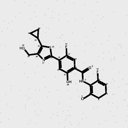 O=C(NC1=C(Cl)CCC=C1F)c1cc(F)c(-c2nc(CO)c(C3CC3)s2)cc1O